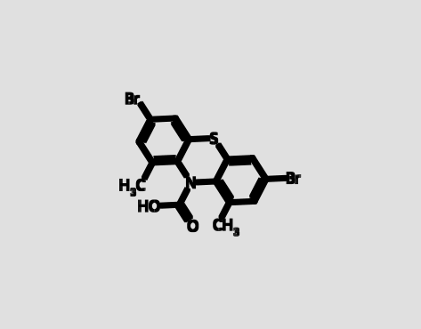 Cc1cc(Br)cc2c1N(C(=O)O)c1c(C)cc(Br)cc1S2